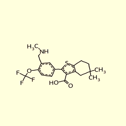 CNCc1cc(-c2sc3c(c2C(=O)O)CC(C)(C)CC3)ccc1OC(F)(F)F